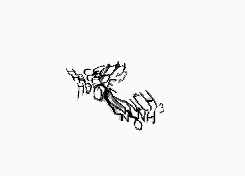 Cc1nc2c(ncn2[C@@H]2O[C@H](CO)C(O[Si](C)(C)C(C)(C)C)C2(F)F)c(=O)[nH]1